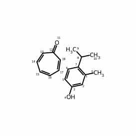 Cc1cc(O)ccc1C(C)C.O=c1cccccc1